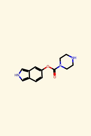 O=C(Oc1ccc2c[nH]cc2c1)N1CCNCC1